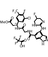 COC(=O)C[C@H](NC(=O)CNC(=O)c1cc(NC2=NCC(F)CN2)c2cn[nH]c2c1)c1cc(Cl)c(F)c(C(F)(F)F)c1.O=C(O)C(F)(F)F